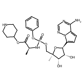 C[C@H](NP(=O)(OC[C@@]1(C)O[C@@H](c2ccc3c(N)ncnn23)[C@H](O)[C@@H]1O)Oc1ccccc1)C(=O)OC1CCNCC1